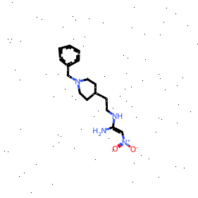 NC(=C[N+](=O)[O-])NCCC1CCN(Cc2ccccc2)CC1